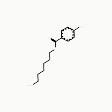 CCCCCCCCCCCCCCCCOC(=O)c1ccc(CCCCCCCC)cc1